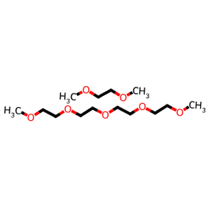 COCCOC.COCCOCCOCCOCCOC